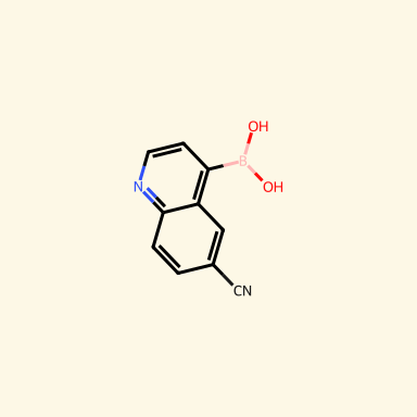 N#Cc1ccc2nccc(B(O)O)c2c1